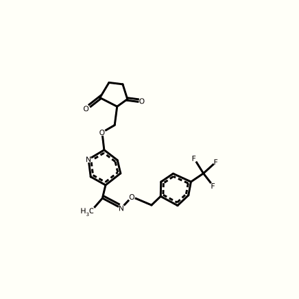 CC(=NOCc1ccc(C(F)(F)F)cc1)c1ccc(OCC2C(=O)CCC2=O)nc1